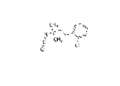 CC(C)(CCc1ccccc1Cl)N=C=O